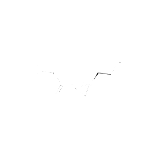 COC(=O)[C@H]1C[C@@H]1CCO